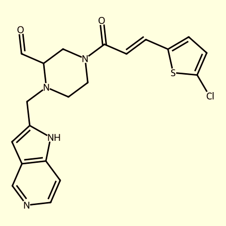 O=CC1CN(C(=O)/C=C/c2ccc(Cl)s2)CCN1Cc1cc2cnccc2[nH]1